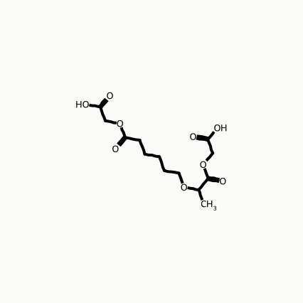 CC(OCCCCCC(=O)OCC(=O)O)C(=O)OCC(=O)O